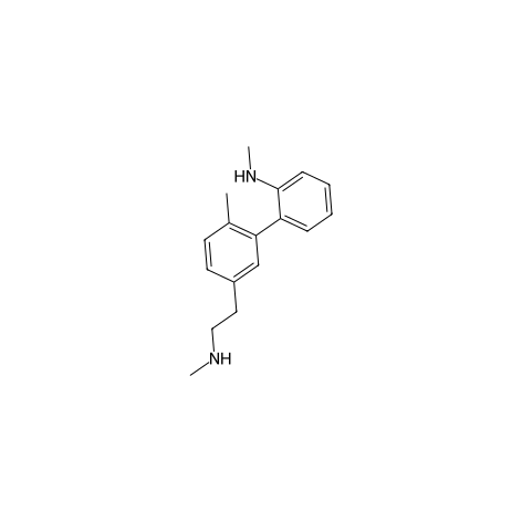 CNCCc1ccc(C)c(-c2ccccc2NC)c1